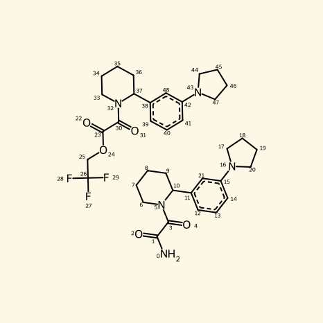 NC(=O)C(=O)N1CCCCC1c1cccc(N2CCCC2)c1.O=C(OCC(F)(F)F)C(=O)N1CCCCC1c1cccc(N2CCCC2)c1